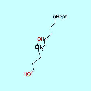 CCCCCCCCCCCCCCCCO.CO